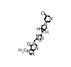 Cn1cnc2ncn(Cc3nc([C@@H]4[C@@H]5CN(c6cncc(Cl)c6)C[C@@H]54)no3)c(=O)c21